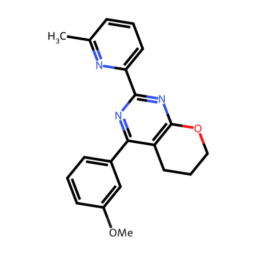 COc1cccc(-c2nc(-c3cccc(C)n3)nc3c2CCCO3)c1